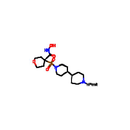 CCCCCN1CCC(C2CCN(S(=O)(=O)C3(C(=O)NO)CCOCC3)CC2)CC1